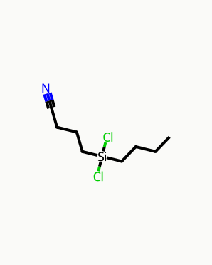 CCCC[Si](Cl)(Cl)CCCC#N